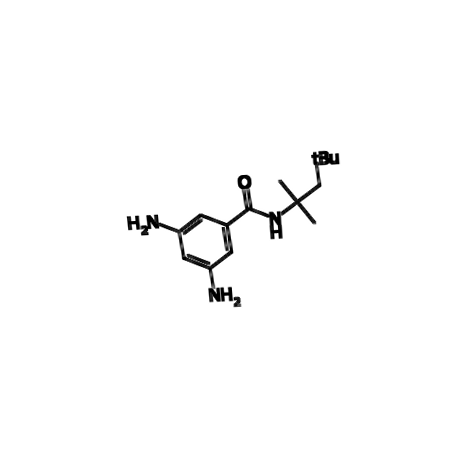 CC(C)(C)CC(C)(C)NC(=O)c1cc(N)cc(N)c1